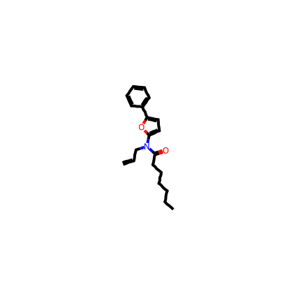 C=CCN(C(=O)CCCCCC)c1ccc(-c2ccccc2)o1